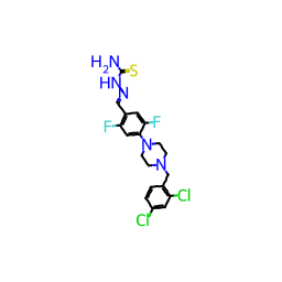 NC(=S)NN=Cc1cc(F)c(N2CCN(Cc3ccc(Cl)cc3Cl)CC2)cc1F